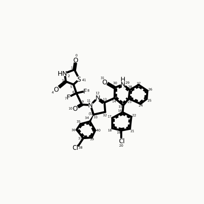 O=C1NC(=O)C(C(F)(F)C(=O)N2N=C(c3c(-c4ccc(Cl)cc4)c4ccccc4[nH]c3=O)C[C@H]2c2ccc(Cl)cc2)S1